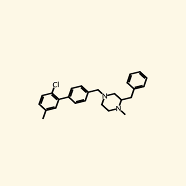 Cc1ccc(Cl)c(-c2ccc(CN3CCN(C)C(Cc4ccccc4)C3)cc2)c1